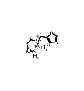 c1coc(C[SiH]2CCO[SiH2][SiH2]2)c1